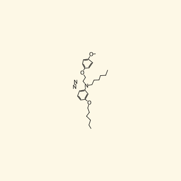 CCCCCCOc1cccc(N(CCCCCC)CCOc2ccc(OC)cc2)c1.N#N